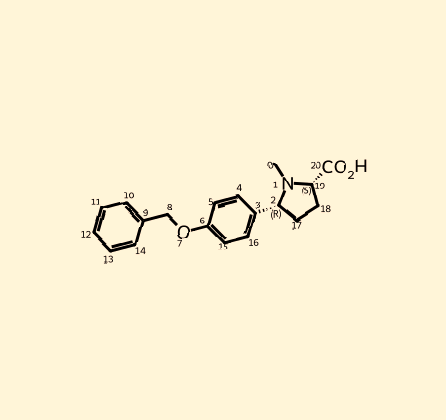 CN1[C@@H](c2ccc(OCc3ccccc3)cc2)CC[C@H]1C(=O)O